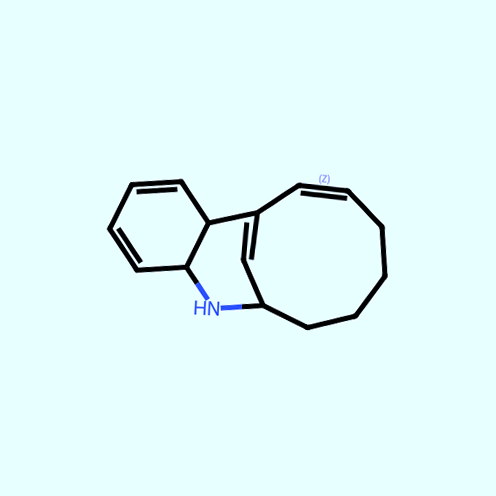 C1=CC2NC3C=C(/C=C\CCCC3)C2C=C1